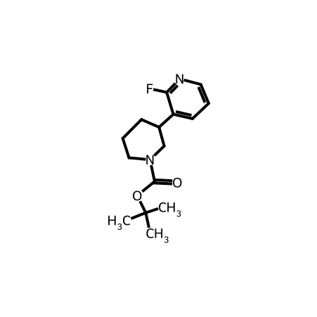 CC(C)(C)OC(=O)N1CCCC(c2cccnc2F)C1